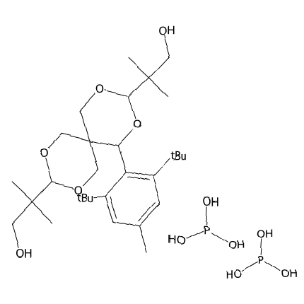 Cc1cc(C(C)(C)C)c(C2OC(C(C)(C)CO)OCC23COC(C(C)(C)CO)OC3)c(C(C)(C)C)c1.OP(O)O.OP(O)O